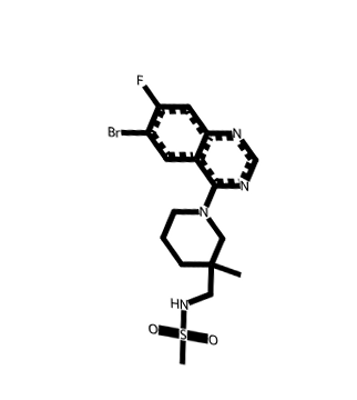 CC1(CNS(C)(=O)=O)CCCN(c2ncnc3cc(F)c(Br)cc23)C1